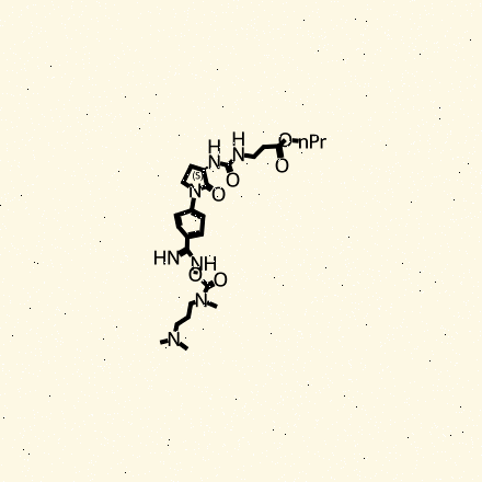 CCCOC(=O)CCNC(=O)N[C@H]1CCN(c2ccc(C(=N)NOC(=O)N(C)CCCN(C)C)cc2)C1=O